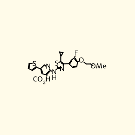 COCCOc1ccc(-c2nc(Nc3ncc(-c4cccs4)cc3C(=O)O)sc2C2CC2)cc1F